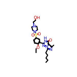 CCCCCc1nc(C)c2c(=O)[nH]c(-c3cc(S(=O)(=O)N4CCN(CCO)CC4)ccc3OCC)nn12